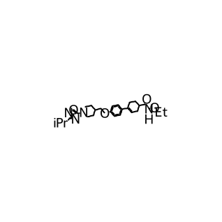 CCONC(=O)C1CC=C(c2ccc(OCC3CCN(c4nc(C(C)C)no4)CC3)cc2)CC1